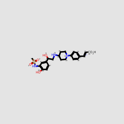 CS(=O)(=O)Nc1cc(C(O)CNC2CCN(c3ccc(/C=C/C(=O)O)cc3)CC2)ccc1O